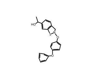 CC(O)c1ccc2c(c1)SN(Oc1ccc(Oc3ccccc3)cc1)C2